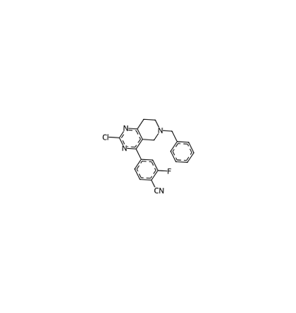 N#Cc1ccc(-c2nc(Cl)nc3c2CN(Cc2ccccc2)CC3)cc1F